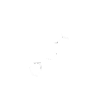 C=C(C)C(=O)OC(Br)(Br)COc1ccccc1